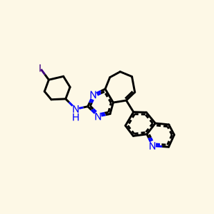 IC1CCC(Nc2ncc3c(n2)CCCC=C3c2ccc3ncccc3c2)CC1